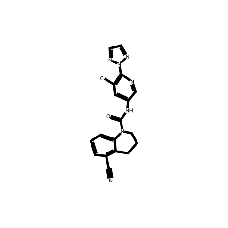 N#Cc1cccc2c1CCCN2C(=O)Nc1cnc(-n2nccn2)c(Cl)c1